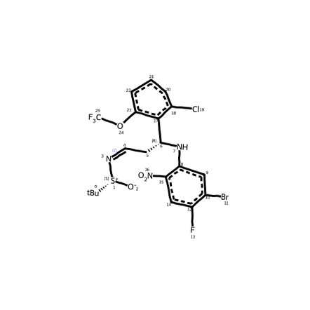 CC(C)(C)[S@@+]([O-])/N=C\C[C@@H](Nc1cc(Br)c(F)cc1[N+](=O)[O-])c1c(Cl)cccc1OC(F)(F)F